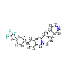 FC(F)(F)Cc1ccc(-c2ccc(CN3CCC4(CC3)Cc3ccncc3C4)cc2)cc1